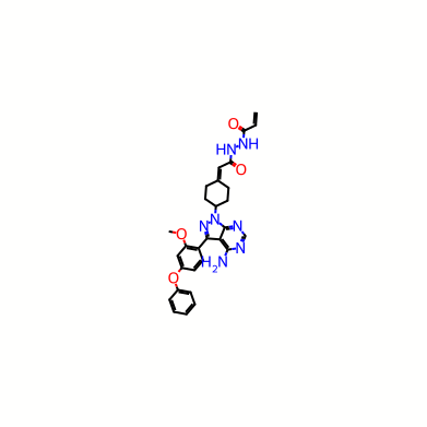 C=CC(=O)NNC(=O)C=C1CCC(n2nc(-c3ccc(Oc4ccccc4)cc3OC)c3c(N)ncnc32)CC1